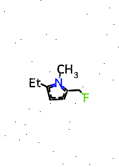 CCc1ccc(CF)n1C